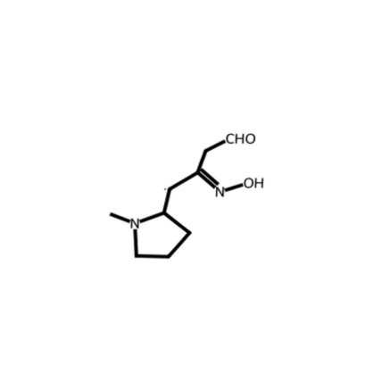 CN1CCCC1[CH]C(CC=O)=NO